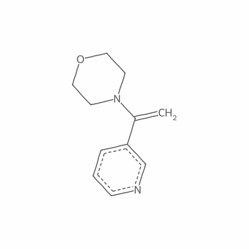 C=C(c1cccnc1)N1CCOCC1